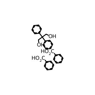 O=C(O)c1ccccc1.O=C(O)c1ccccc1.OCC(CO)(c1ccccc1)c1ccccc1